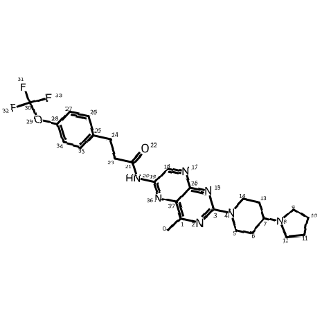 Cc1nc(N2CCC(N3CCCC3)CC2)nc2ncc(NC(=O)CCc3ccc(OC(F)(F)F)cc3)nc12